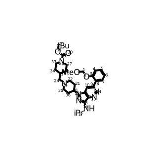 COCOc1ccccc1-c1cc2c(nn1)c(NC(C)C)nn2C1CCN(CC2CCN(C(=O)OC(C)(C)C)CC2)CC1